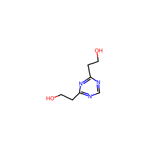 OCCc1ncnc(CCO)n1